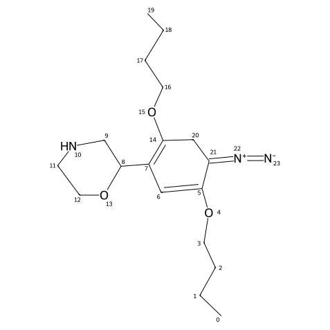 CCCCOC1=CC(C2CNCCO2)=C(OCCCC)CC1=[N+]=[N-]